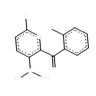 CC(=O)N(N)c1ccc(Cl)nc1C(=O)c1ccccc1Cl